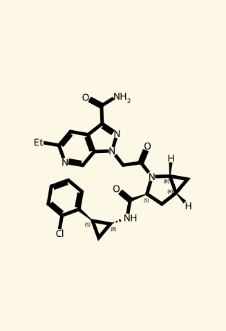 CCc1cc2c(C(N)=O)nn(CC(=O)N3[C@@H]4C[C@@H]4C[C@H]3C(=O)N[C@@H]3C[C@H]3c3ccccc3Cl)c2cn1